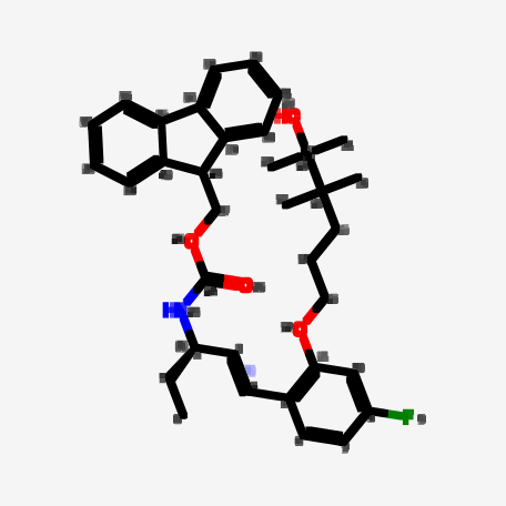 CC[C@H](/C=C/c1ccc(F)cc1OCCCC(C)(C)[Si](C)(C)O)NC(=O)OCC1c2ccccc2-c2ccccc21